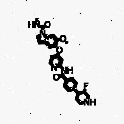 CNC(=O)n1ccc2cc(Oc3ccnc(NC(=O)c4ccc(C5CCNCC5F)cc4)c3)c(OC)cc21